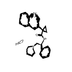 Cl.O=C(N[C@H](CN1CCCC1)c1ccccc1)C1(c2cnc3ccccc3c2)CC1